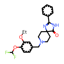 CCOc1cc(CN2CCC3(CC2)N=C(c2ccccc2)NC3=O)ccc1OC(F)F